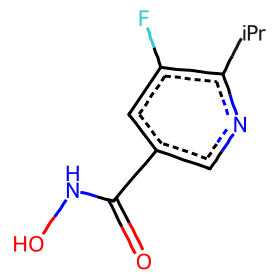 CC(C)c1ncc(C(=O)NO)cc1F